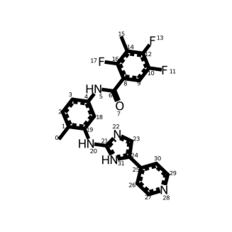 Cc1ccc(NC(=O)c2cc(F)c(F)c(C)c2F)cc1Nc1ncc(-c2ccncc2)[nH]1